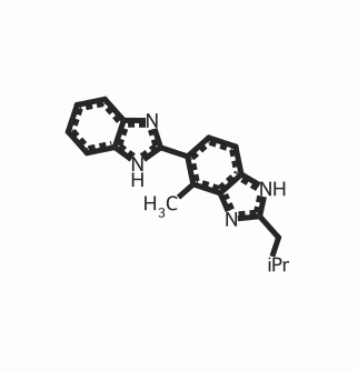 Cc1c(-c2nc3ccccc3[nH]2)ccc2[nH]c(CC(C)C)nc12